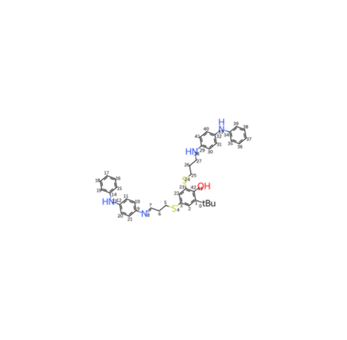 CC(C)(C)c1cc(SCC/C=N/c2ccc(Nc3ccccc3)cc2)cc(SCCCNc2ccc(Nc3ccccc3)cc2)c1O